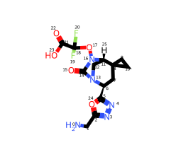 NCc1nnc([C@@H]2CC3(CC3)[C@@H]3CN2C(=O)N3OC(F)(F)C(=O)O)o1